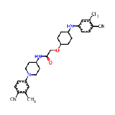 [C-]#[N+]c1ccc(N2CCC(NC(=O)COC3CCC(Nc4ccc(C#N)c(C(F)(F)F)c4)CC3)CC2)cc1C